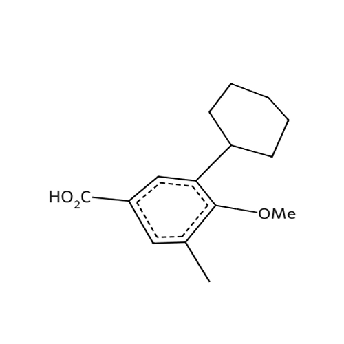 COc1c(C)cc(C(=O)O)cc1C1CCCCC1